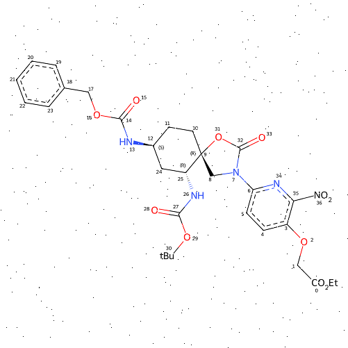 CCOC(=O)COc1ccc(N2C[C@@]3(CC[C@H](NC(=O)OCc4ccccc4)C[C@H]3NC(=O)OC(C)(C)C)OC2=O)nc1[N+](=O)[O-]